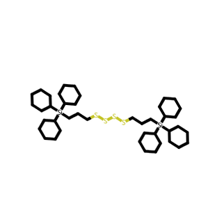 C1CCC([Si](CCCSSSSCCC[Si](C2CCCCC2)(C2CCCCC2)C2CCCCC2)(C2CCCCC2)C2CCCCC2)CC1